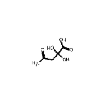 CC(=O)CC(O)(O)C(=O)O